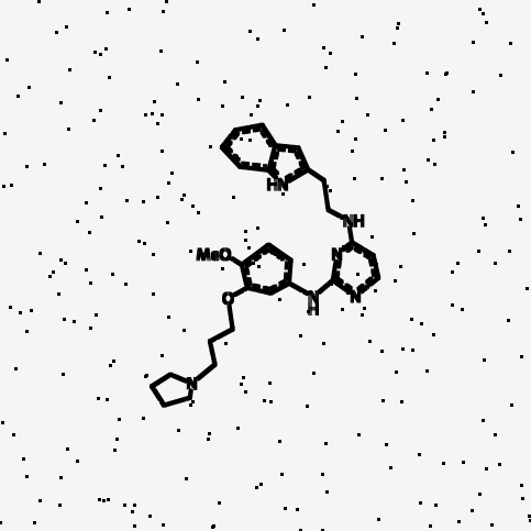 COc1ccc(Nc2nccc(NCCc3cc4ccccc4[nH]3)n2)cc1OCCCN1CCCC1